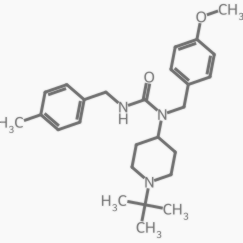 COc1ccc(CN(C(=O)NCc2ccc(C)cc2)C2CCN(C(C)(C)C)CC2)cc1